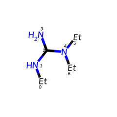 CCNC(N)N(CC)CC